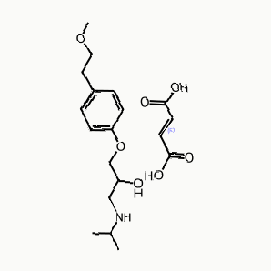 COCCc1ccc(OCC(O)CNC(C)C)cc1.O=C(O)/C=C/C(=O)O